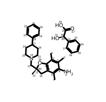 Cc1c(C)c2c(c(C)c1N)C[C@](C)(CN1CCC(c3ccccc3)CC1)O2.O=C(O)[C@H](O)c1ccccc1